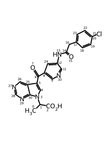 CC(C(=O)O)n1cc(C(=O)c2cncc(NC(=O)Cc3ccc(Cl)cc3)c2)c2cncnc21